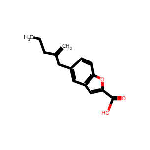 C=C(CCC)Cc1ccc2oc(C(=O)O)cc2c1